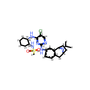 CC(C)N1C2CCC1c1cc(Nc3ncc(Cl)c(N[C@@H]4CCCC[C@H]4NS(C)(=O)=O)n3)ccc1C2